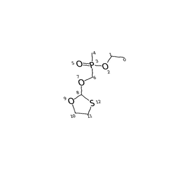 CCOP(C)(=O)COC1OCCS1